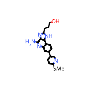 CSc1ccc(-c2ccc3c(c2)nc(N)c2nc(CCCO)[nH]c23)cn1